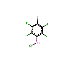 Fc1c(F)c(F)c(PCl)c(F)c1F